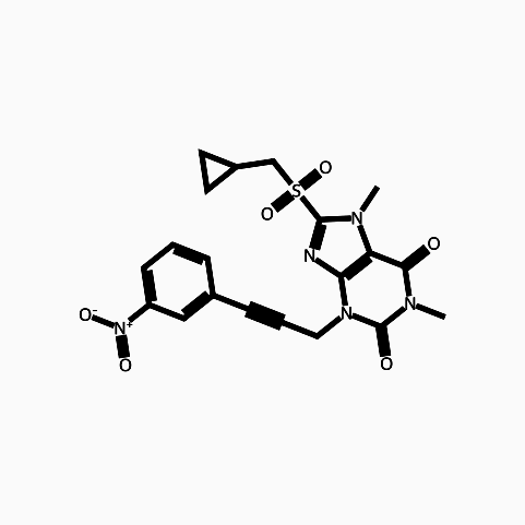 Cn1c(=O)c2c(nc(S(=O)(=O)CC3CC3)n2C)n(CC#Cc2cccc([N+](=O)[O-])c2)c1=O